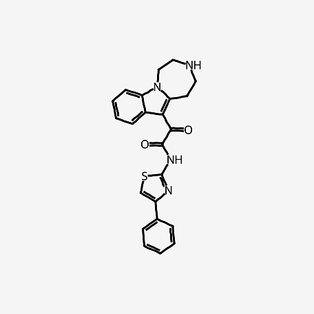 O=C(Nc1nc(-c2ccccc2)cs1)C(=O)c1c2n(c3ccccc13)CCNCC2